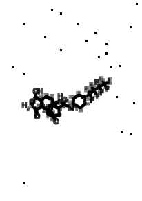 N=c1[nH]c(=O)c2ccc(C(=O)N[C@H]3CC[C@H](C(F)(F)C(F)(F)C(F)(F)C(F)(F)F)CC3)c3c1cc(C(=O)O)c(C(N)=O)c23